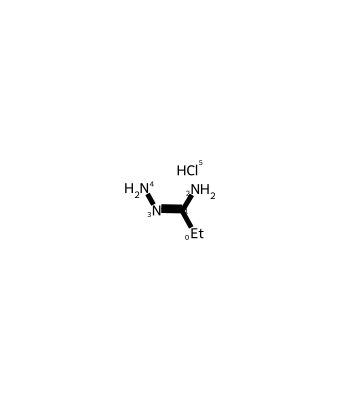 CC/C(N)=N/N.Cl